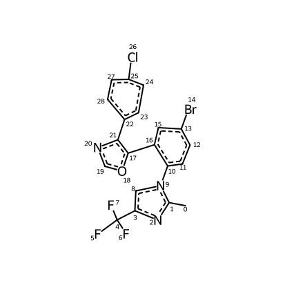 Cc1nc(C(F)(F)F)cn1-c1ccc(Br)cc1-c1ocnc1-c1ccc(Cl)cc1